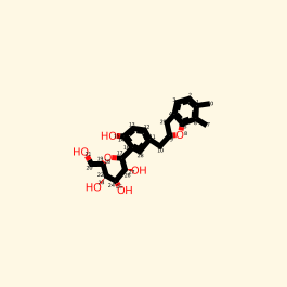 Cc1ccc2c(c1C)OC(Cc1ccc(O)c(C3OC(CO)[C@@H](O)C(O)[C@H]3O)c1)C2